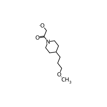 COCCCC1CCN(C(=O)C[O])CC1